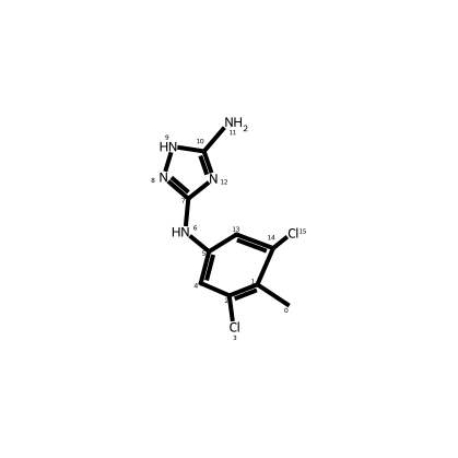 Cc1c(Cl)cc(Nc2n[nH]c(N)n2)cc1Cl